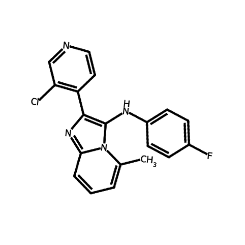 Cc1cccc2nc(-c3ccncc3Cl)c(Nc3ccc(F)cc3)n12